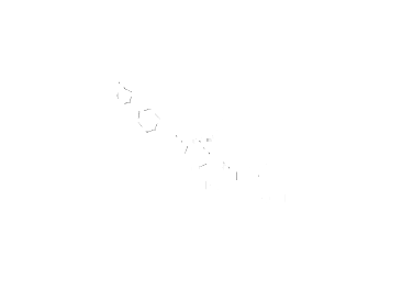 Cc1ncsc1-c1ccc(C(C)NC(=O)[C@@H]2C[C@@H](O)CN2C(=O)C(NC(=O)CC2(CC(=O)O)CCCC2)C(C)(C)C)cc1